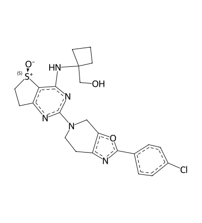 [O-][S@+]1CCc2nc(N3CCc4nc(-c5ccc(Cl)cc5)oc4C3)nc(NC3(CO)CCC3)c21